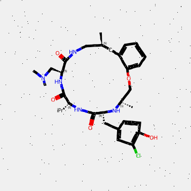 CC(C)[C@H]1NC(=O)[C@@H](Cc2ccc(O)c(Cl)c2)N[C@@H](C)COc2ccccc2C[C@H](C)CNC(=O)[C@H](CN(C)C)NC1=O